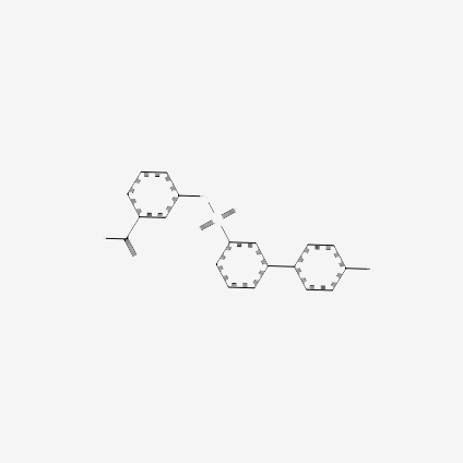 O=C(O)c1cccc(NS(=O)(=O)c2cccc(-c3ccc(F)cc3)c2)c1